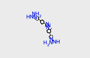 Cc1cc(C2=CCN(C(=N)N)CC2)ccc1-n1cc(-c2ccc(C3=CCN(C(=N)N)CC3)cc2)nn1